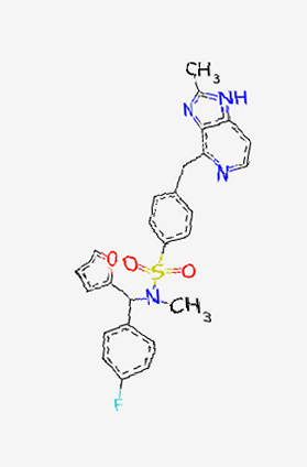 Cc1nc2c(Cc3ccc(S(=O)(=O)N(C)C(c4ccc(F)cc4)c4ccco4)cc3)nccc2[nH]1